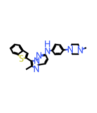 Cc1nc2ccc(Nc3ccc(N4CCN(C)CC4)cc3)nn2c1-c1cc2ccccc2s1